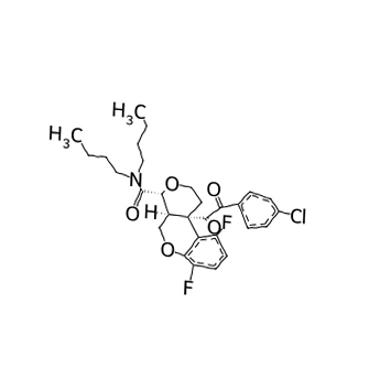 CCCCN(CCCC)C(=O)[C@@H]1OCC[C@@]2(C(=O)C(=O)c3ccc(Cl)cc3)c3c(F)ccc(F)c3OC[C@@H]12